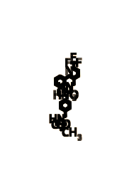 CCS(=O)(=O)NCc1ccc(NC(=O)NCc2ccc(C(F)(F)F)nc2-c2cccc(C)c2)cc1